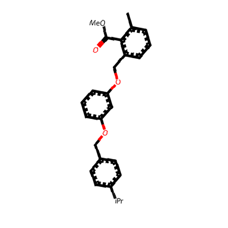 COC(=O)c1c(C)cccc1COc1cccc(OCc2ccc(C(C)C)cc2)c1